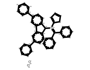 C1=CC[C]([Ti+2](=[C](c2ccccc2)c2ccccc2)[CH]2c3ccc(-c4ccccc4)cc3-c3cc(-c4ccccc4)ccc32)=C1.[Cl-].[Cl-]